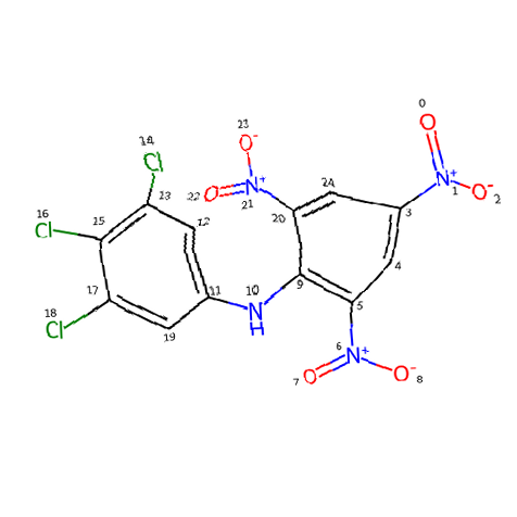 O=[N+]([O-])c1cc([N+](=O)[O-])c(Nc2cc(Cl)c(Cl)c(Cl)c2)c([N+](=O)[O-])c1